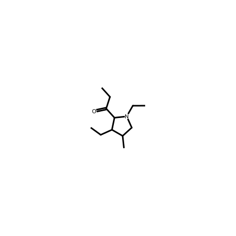 CCC(=O)C1C(CC)C(C)CN1CC